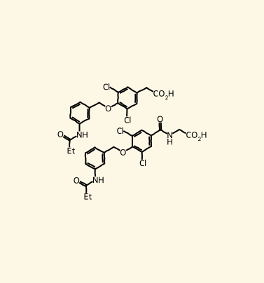 CCC(=O)Nc1cccc(COc2c(Cl)cc(C(=O)NCC(=O)O)cc2Cl)c1.CCC(=O)Nc1cccc(COc2c(Cl)cc(CC(=O)O)cc2Cl)c1